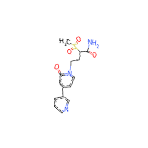 CS(=O)(=O)C(CCn1ccc(-c2cccnc2)cc1=O)C(N)=O